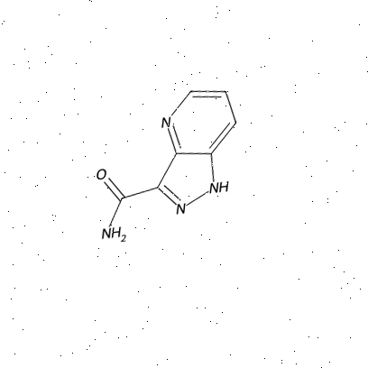 NC(=O)c1n[nH]c2cccnc12